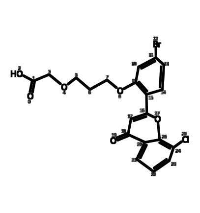 O=C(O)COCCCOc1cc(Br)ccc1-c1cc(=O)c2cccc(Cl)c2o1